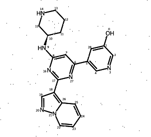 Oc1cncc(-c2cc(N[C@@H]3CCCNC3)nc(-c3cnn4ccccc34)n2)c1